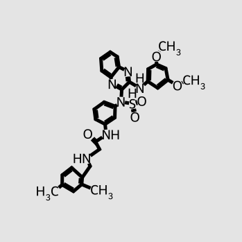 COc1cc(Nc2nc3ccccc3nc2N(c2cccc(NC(=O)CNCc3ccc(C)cc3C)c2)[SH](=O)=O)cc(OC)c1